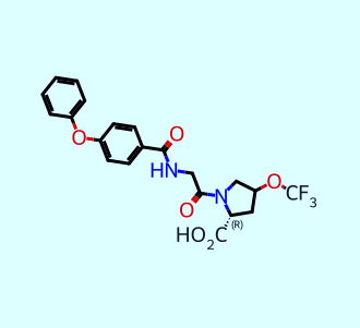 O=C(NCC(=O)N1CC(OC(F)(F)F)C[C@@H]1C(=O)O)c1ccc(Oc2ccccc2)cc1